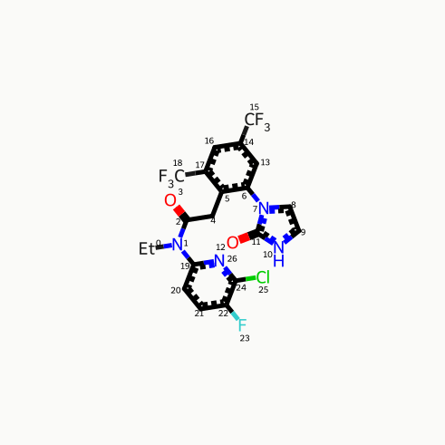 CCN(C(=O)Cc1c(-n2cc[nH]c2=O)cc(C(F)(F)F)cc1C(F)(F)F)c1ccc(F)c(Cl)n1